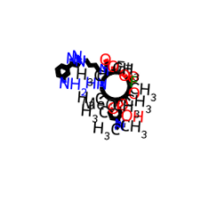 CC[C@H]1OC(=O)C(C)(F)C(=O)[C@@H](C)[C@@H](O[C@@H]2O[C@H](C)CC(N(C)C)C2O)[C@](C)(OC)C[C@@H](C)CN[C@H](C)[C@H]2N(CCCCn3cc(-c4cccc(N)c4)nn3)C(=O)O[C@]12C